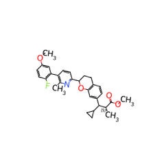 COC(=O)[C@@H](C)C(c1ccc2c(c1)OC(c1ccc(-c3cc(OC)ccc3F)c(C)n1)CC2)C1CC1